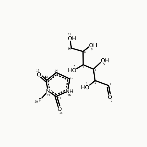 O=CC(O)C(O)C(O)C(O)CO.O=c1cc[nH]c(=O)n1F